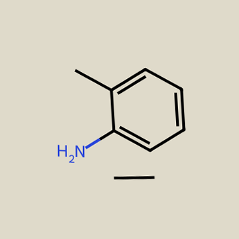 CC.Cc1ccccc1N